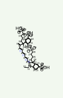 C=C(/C=C/C=C/C=C/C=C1/N(CC)c2ccc(S(=O)(=O)O)cc2C1(C)CCCCS(=O)(=O)O)C(C)(CCCCS(=O)(=O)O)c1cc(S(=O)(=O)O)ccc1C